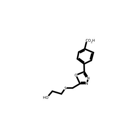 O=C(O)c1ccc(-c2nnc(CSCCO)o2)cc1